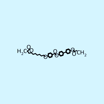 C=CC(=O)Oc1ccc(-c2ccc(OC(=O)c3ccc(OCCCCCCC4CC(=C)C(=O)O4)cc3)cc2)cc1